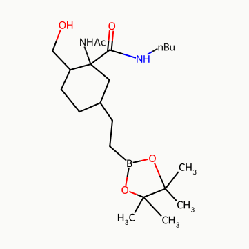 CCCCNC(=O)C1(NC(C)=O)CC(CCB2OC(C)(C)C(C)(C)O2)CCC1CO